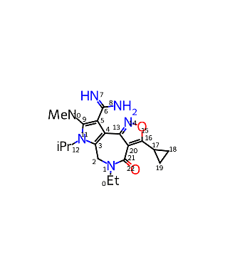 CCN1Cc2c(c(C(=N)N)c(NC)n2C(C)C)-c2noc(C3CC3)c2C1=O